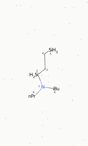 CCCN([SiH2]CC[SiH3])C(C)CC